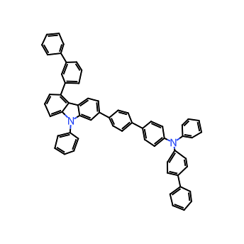 c1ccc(-c2ccc(N(c3ccccc3)c3ccc(-c4ccc(-c5ccc6c7c(-c8cccc(-c9ccccc9)c8)cccc7n(-c7ccccc7)c6c5)cc4)cc3)cc2)cc1